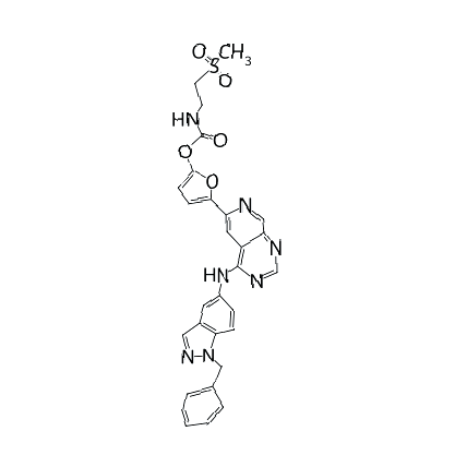 CS(=O)(=O)CCNC(=O)Oc1ccc(-c2cc3c(Nc4ccc5c(cnn5Cc5ccccc5)c4)ncnc3cn2)o1